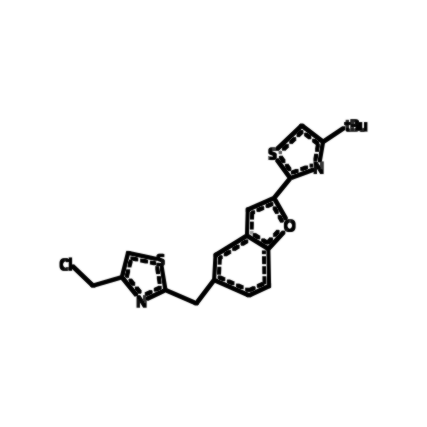 CC(C)(C)c1csc(-c2cc3cc(Cc4nc(CCl)cs4)ccc3o2)n1